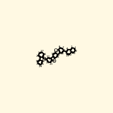 c1ccc2cc(-c3ccc4oc5cc6c(cc5c4c3)oc3ccc(-n4c5ccccc5c5ccccc54)cc36)ccc2c1